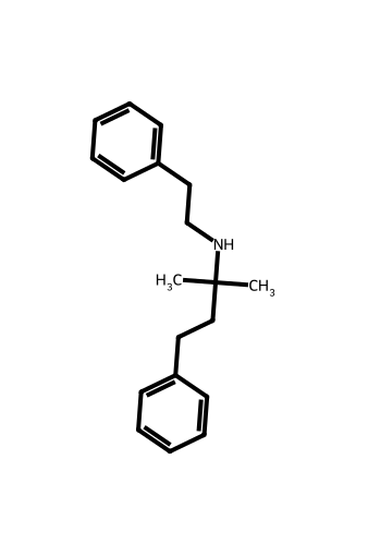 CC(C)(CCc1ccccc1)NCCc1ccccc1